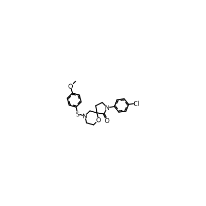 COc1ccc(SN2CCOC3(CCN(c4ccc(Cl)cc4)C3=O)C2)cc1